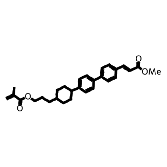 C=C(C)C(=O)OCCCC1CCC(c2ccc(-c3ccc(C=CC(=O)OC)cc3)cc2)CC1